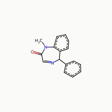 CN1C(=O)C=NC(c2ccccc2)c2ccccc21